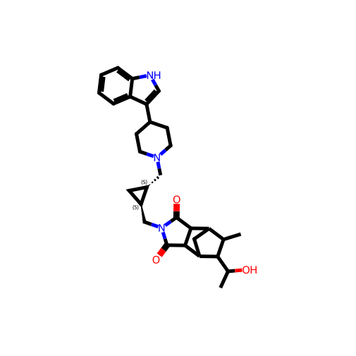 CC(O)C1C(C)C2CC1C1C(=O)N(C[C@H]3C[C@@H]3CN3CCC(c4c[nH]c5ccccc45)CC3)C(=O)C21